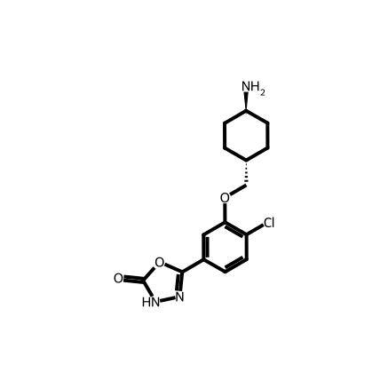 N[C@H]1CC[C@H](COc2cc(-c3n[nH]c(=O)o3)ccc2Cl)CC1